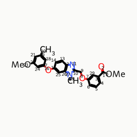 COC(=O)c1cccc(OCc2nc3ccc(Oc4cc(C)cc(OC)c4)cc3n2C)c1